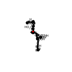 Cc1c(-c2ccc(N3CCc4cccc(C(=O)Nc5nc6ccccc6s5)c4C3)nc2C(=O)O)cnn1CC12CC3(C)CC(C)(C1)CC(OCCN(CCC(=O)O)C(=O)OCc1ccc(OCCOCCNC(=O)CCN4C(=O)C=CC4=O)cc1O[C@@H]1O[C@H](C(=O)O)[C@@H](O)[C@H](O)[C@H]1O)(C3)C2